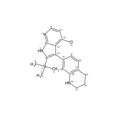 C[Si](C)(C)c1[nH]c2nccc(Cl)c2c1-c1ccc2c(c1)NCCC2